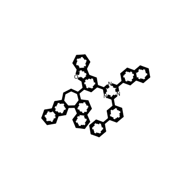 c1ccc(-c2cccc(-c3nc(-c4ccc5ccccc5c4)nc(-c4cc(C5CCc6cc7ccccc7cc6-c6c5ccc5ccccc65)c5oc6ccccc6c5c4)n3)c2)cc1